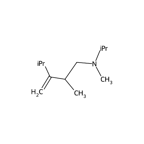 C=C(C(C)C)C(C)CN(C)C(C)C